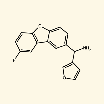 NC(c1ccoc1)c1ccc2oc3ccc(F)cc3c2c1